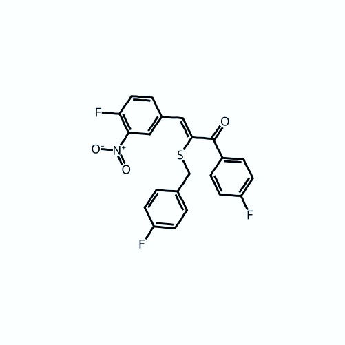 O=C(C(=Cc1ccc(F)c([N+](=O)[O-])c1)SCc1ccc(F)cc1)c1ccc(F)cc1